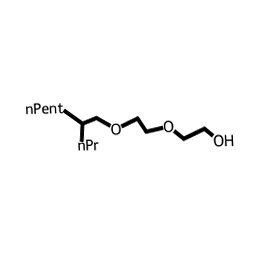 CCCCCC(CCC)COCCOCCO